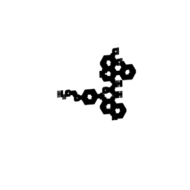 CCOc1ccc(Sc2ccc3ncccc3c2NC(=O)Nc2cnc3ccc(Cl)cc3c2-c2ccccc2Cl)cc1